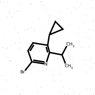 CC(C)c1nc(Br)ccc1C1CC1